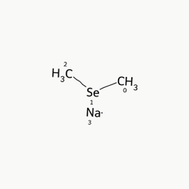 C[Se]C.[Na]